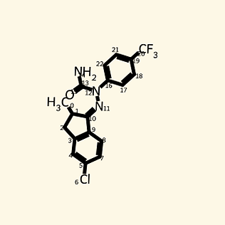 CC1Cc2cc(Cl)ccc2/C1=N/N(C(N)=O)c1ccc(C(F)(F)F)cc1